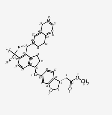 COC(=O)C[C@@H]1COc2cc(O[C@@H]3CCc4c3ccc(C(F)(F)F)c4CN3C=C4CN=CN=C4CC3)ccc21